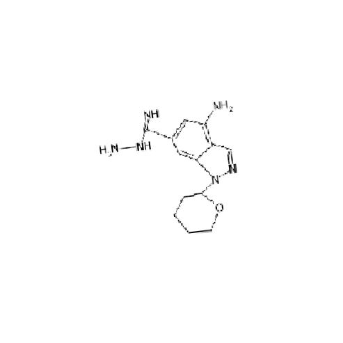 N=C(NN)c1cc(N)c2cnn(C3CCCCO3)c2c1